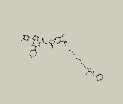 Cn1cc(-n2cnc3c(NCc4nc5cc(Cl)c(NCCCCCCCCCCCNC(=O)OCc6ccccc6)cc5[nH]4)nc(N4CCOCC4)nc32)cn1